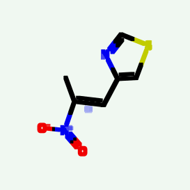 C/C(=C\c1cscn1)[N+](=O)[O-]